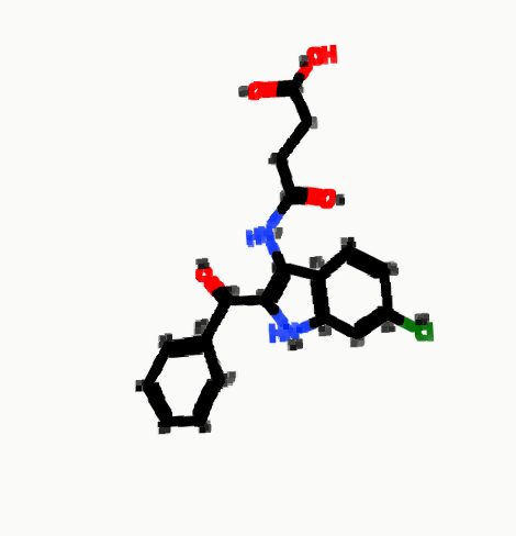 O=C(O)CCC(=O)Nc1c(C(=O)c2ccccc2)[nH]c2cc(Cl)ccc12